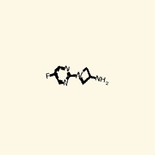 NC1CN(c2ncc(F)cn2)C1